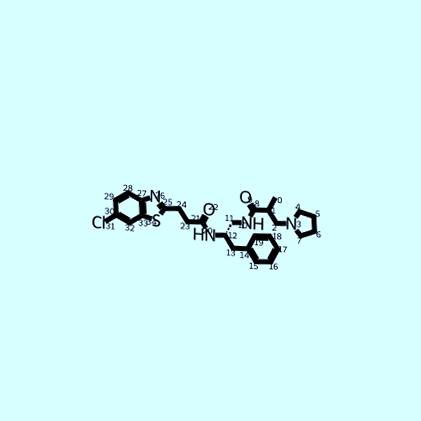 CC(CN1CCCC1)C(=O)NC[C@H](Cc1ccccc1)NC(=O)CCc1nc2ccc(Cl)cc2s1